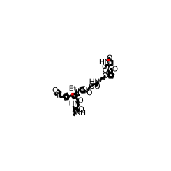 CCN(c1cc(-c2ccc(CN3CCOCC3)cc2)cc(C(=O)NCc2c(C)cc(C)[nH]c2=O)c1C)C1CCN(C(=O)COCC(=O)NCCCOc2cccc3c2C(=O)N(C2CCC(=O)NC2=O)C3=O)CC1